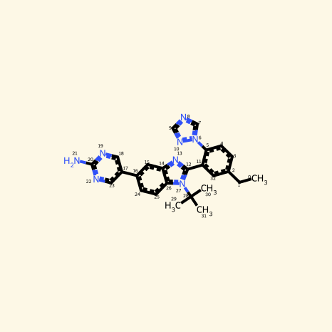 CCc1ccc(-n2cncn2)c(-c2nc3cc(-c4cnc(N)nc4)ccc3n2C(C)(C)C)c1